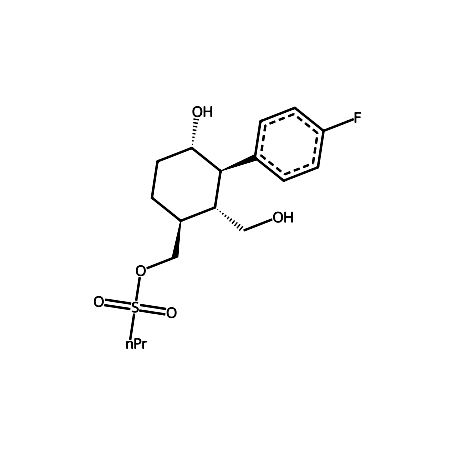 CCCS(=O)(=O)OC[C@H]1CC[C@H](O)[C@@H](c2ccc(F)cc2)[C@@H]1CO